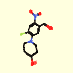 O=Cc1cc(N2CCC(O)CC2)c(F)cc1[N+](=O)[O-]